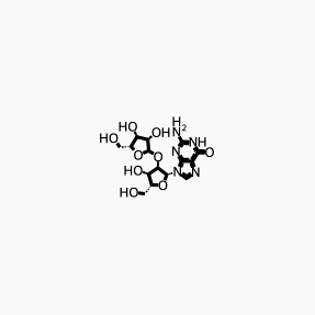 Nc1nc2c(ncn2[C@@H]2O[C@H](CO)[C@@H](O)[C@H]2OC2O[C@H](CO)[C@@H](O)[C@H]2O)c(=O)[nH]1